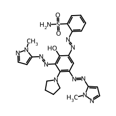 Cn1nccc1/N=N/c1cc(/N=N/c2ccccc2S(N)(=O)=O)c(O)c(/N=N/c2ccnn2C)c1N1CCCC1